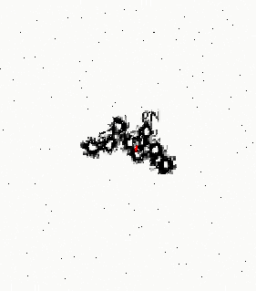 N#Cc1ccc(-n2c3ccccc3c3c4sc5ccccc5c4ccc32)c(-c2cc(-n3c4ccccc4c4c5sc6ccccc6c5ccc43)ccn2)c1